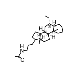 CC[C@H]1C[C@@H]2[C@H](CC[C@]3(C)C(CCCNC(C)=O)CC[C@@H]23)[C@@]2(C)CCCC[C@@H]12